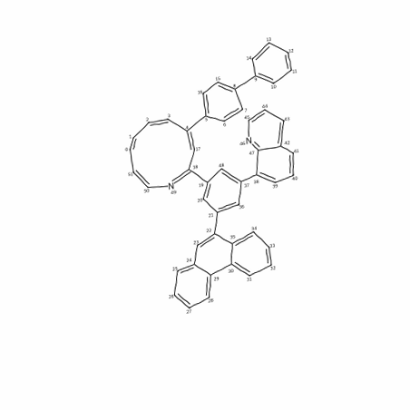 c1cccc(-c2ccc(-c3ccccc3)cc2)cc(-c2cc(-c3cc4ccccc4c4ccccc34)cc(-c3cccc4cccnc34)c2)ncc1